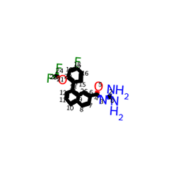 NC(N)=NC(=O)c1ccc2cccc(-c3ccc(F)cc3OC(F)F)c2c1